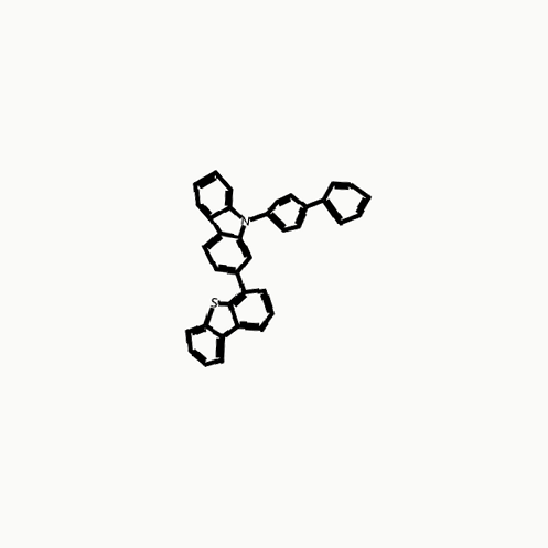 c1ccc(-c2ccc(-n3c4ccccc4c4ccc(-c5cccc6c5sc5ccccc56)cc43)cc2)cc1